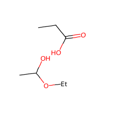 CCC(=O)O.CCOC(C)O